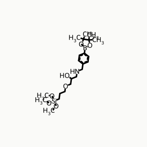 CO[Si](CCCOCC(O)CNCc1ccc(B2OC(C)(C)C(C)(C)O2)cc1)(OC)OC